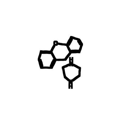 C1CNCCN1.c1ccc2c(c1)Cc1ccccc1O2